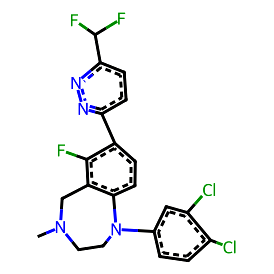 CN1CCN(c2ccc(Cl)c(Cl)c2)c2ccc(-c3ccc(C(F)F)nn3)c(F)c2C1